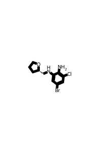 Nc1c(Cl)cc(Br)cc1NC[C@@H]1CCCO1